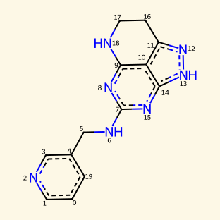 c1cncc(CNc2nc3c4c(n[nH]c4n2)CCN3)c1